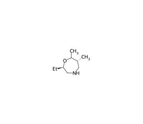 CC[C@@H]1CNC[C@@H](C)C(C)O1